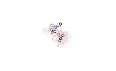 Bc1c(B)c(-n2c3c(B)c(B)c(B)c(B)c3c3c(B)c4c(B)c(B)c(B)c(B)c4c(B)c32)c(B)c(B)c1-c1c(B)c(-c2cc(-c3ccc4ccccc4c3)nc(-c3ccccc3)n2)c2c(oc3c(B)c(B)c(B)c(B)c32)c1B